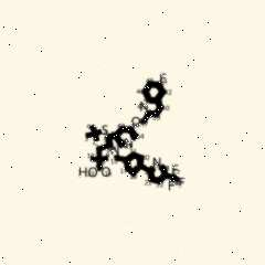 CC(C)(C)Sc1c(CC(C)(C)C(=O)O)n(Cc2ccc(-c3ccc(C(F)(F)F)cn3)cc2)c2ncc(OCc3ccc4cc(F)ccc4n3)cc12